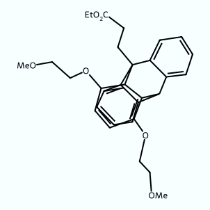 CCOC(=O)CCC12c3ccccc3C(c3ccccc31)c1c(OCCOC)ccc(OCCOC)c12